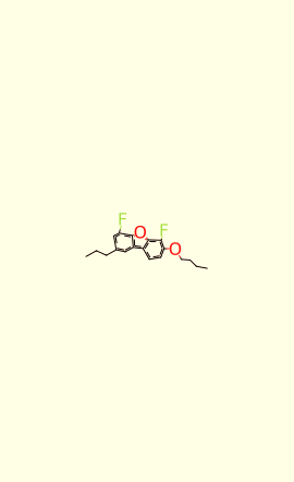 CCCCOc1ccc2c(oc3c(F)cc(CCC)cc32)c1F